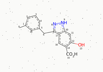 Cc1cccc(Cc2n[nH]c3cc(O)c(C(=O)O)cc23)c1